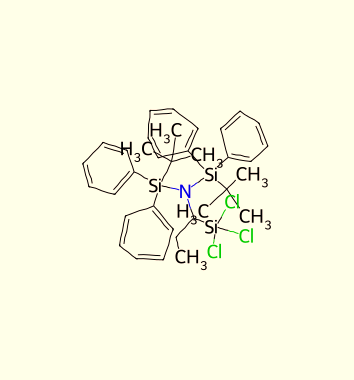 CCC(N([Si](c1ccccc1)(c1ccccc1)C(C)(C)C)[Si](c1ccccc1)(c1ccccc1)C(C)(C)C)[Si](Cl)(Cl)Cl